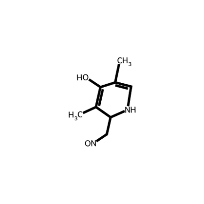 CC1=CNC(CN=O)C(C)=C1O